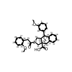 COc1cccc(C23CCC(c4ccccc42)C2(C(=O)O)CN(C(=O)Cc4ccccc4OC)CC32)c1